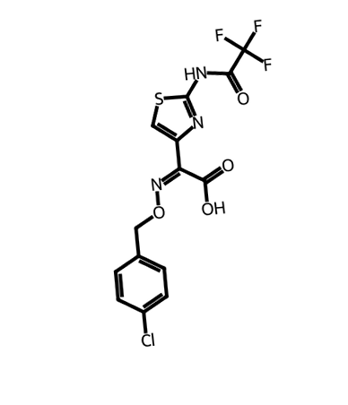 O=C(O)/C(=N\OCc1ccc(Cl)cc1)c1csc(NC(=O)C(F)(F)F)n1